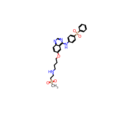 CS(=O)(=O)CCNCCCCOc1ccc2ncnc(Nc3ccc(S(=O)(=O)c4ccccc4)cc3)c2c1